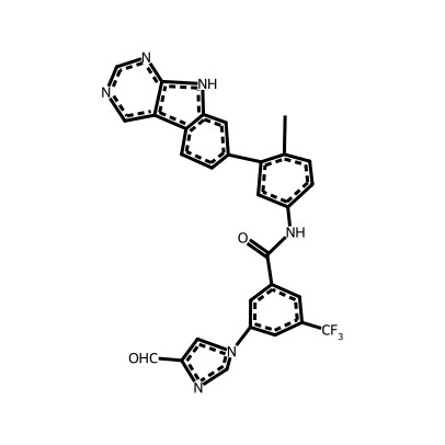 Cc1ccc(NC(=O)c2cc(-n3cnc(C=O)c3)cc(C(F)(F)F)c2)cc1-c1ccc2c(c1)[nH]c1ncncc12